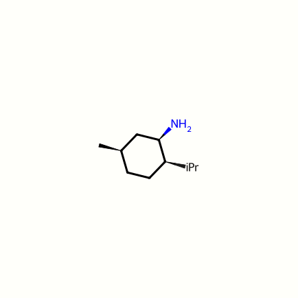 CC(C)[C@H]1CC[C@@H](C)C[C@H]1N